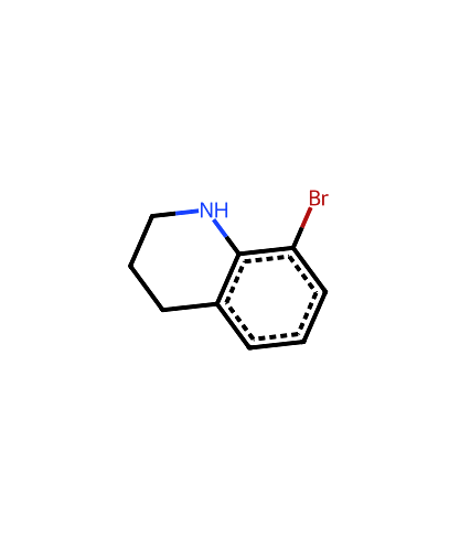 Brc1cccc2c1NCCC2